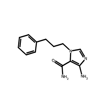 NC(=O)c1c(N)ncn1CCCc1ccccc1